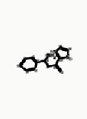 C=C(CC(N)c1ccccc1)c1nccs1